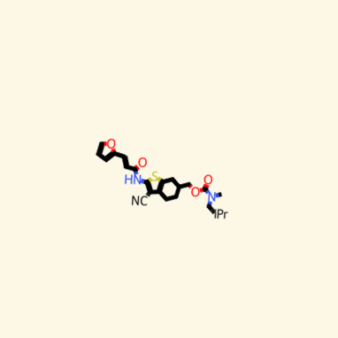 CC(C)CN(C)C(=O)OCC1CCc2c(sc(NC(=O)C=Cc3ccco3)c2C#N)C1